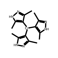 Cc1n[nH]c(C)[c]1[Cr]([c]1c(C)n[nH]c1C)[c]1c(C)n[nH]c1C